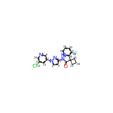 O=C(Nc1ccn(-c2cncc(Cl)c2)n1)C1(c2ncccc2F)CCC1